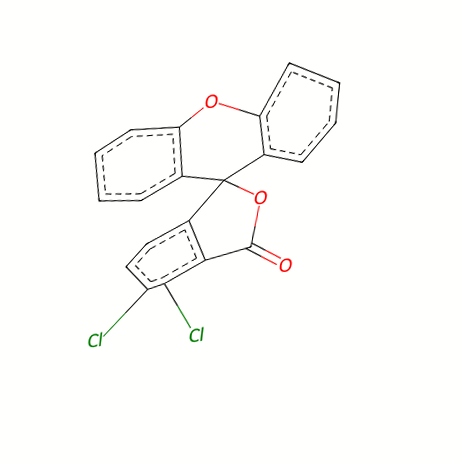 O=C1OC2(c3ccccc3Oc3ccccc32)c2ccc(Cl)c(Cl)c21